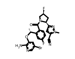 C[C@@H](Oc1cc(Br)cnc1N)c1cc(F)ccc1C(=O)N1C[C@@H](F)C[C@H]1c1cc(C#N)n(C)n1